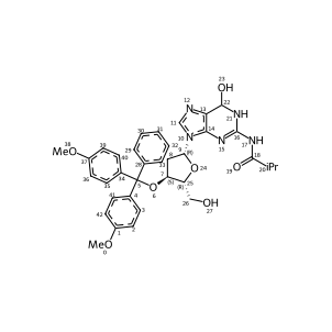 COc1ccc(C(O[C@H]2C[C@H](n3cnc4c3N=C(NC(=O)C(C)C)NC4O)O[C@@H]2CO)(c2ccccc2)c2ccc(OC)cc2)cc1